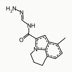 Cc1ccc2c3c1cc(C(=O)NC=NN)n3CCC2